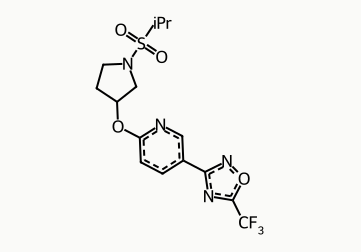 CC(C)S(=O)(=O)N1CCC(Oc2ccc(-c3noc(C(F)(F)F)n3)cn2)C1